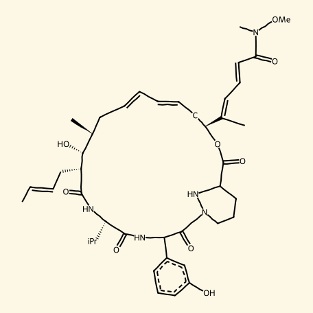 C/C=C/C[C@H]1C(=O)N[C@@H](C(C)C)C(=O)NC(c2cccc(O)c2)C(=O)N2CCCC(N2)C(=O)O[C@H](/C(C)=C/C=C/C(=O)N(C)OC)C/C=C/C=C/C[C@H](C)[C@H]1O